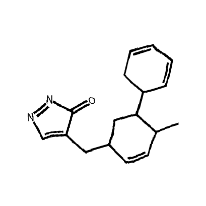 CC1C=CC(CC2=CN=NC2=O)CC1C1C=CC=CC1